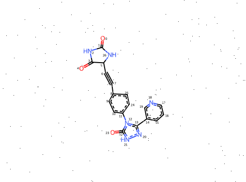 O=C1NC(=O)C(C#Cc2ccc(-n3c(-c4cccnc4)n[nH]c3=O)cc2)N1